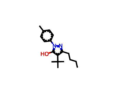 CCCCc1nn(-c2ccc(C)cc2)c(O)c1C(C)(C)C